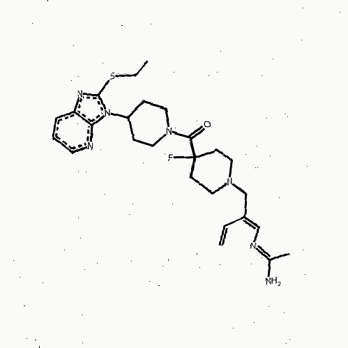 C=C/C(=C\N=C(/C)N)CN1CCC(F)(C(=O)N2CCC(n3c(SCC)nc4cccnc43)CC2)CC1